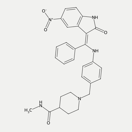 CNC(=O)C1CCN(Cc2ccc(N/C(=C3\C(=O)Nc4ccc([N+](=O)[O-])cc43)c3ccccc3)cc2)CC1